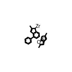 CC1=C2c3cc(C)oc3C1[Si]2(C)C.CC1=Cc2c(-c3ccccc3)cccc2[CH]1[Zr]